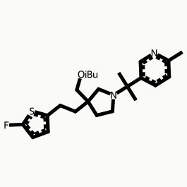 Cc1ccc(C(C)(C)N2CCC(CCc3ccc(F)s3)(COCC(C)C)C2)cn1